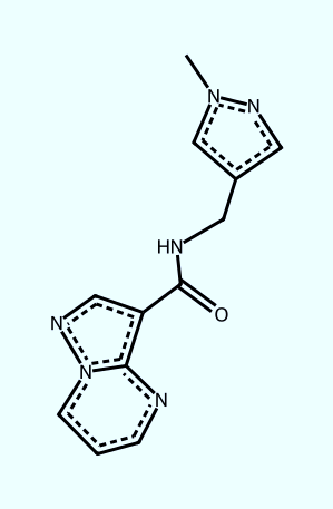 Cn1cc(CNC(=O)c2cnn3cccnc23)cn1